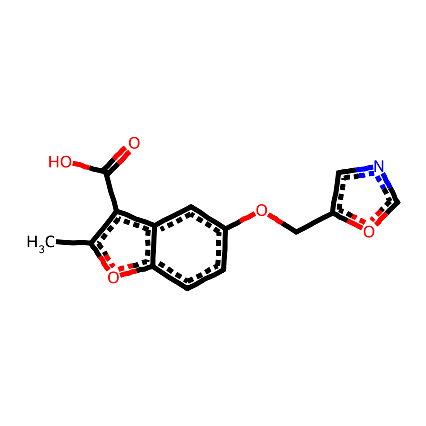 Cc1oc2ccc(OCc3cnco3)cc2c1C(=O)O